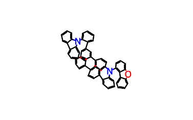 c1ccc(-c2ccc(-c3ccccc3N(c3ccc(-c4cccc(-c5ccccc5-n5c6ccccc6c6ccccc65)c4)cc3)c3cccc4oc5ccccc5c34)cc2)cc1